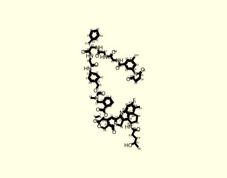 CC[C@@]1(OC(=O)c2ccccc2CN(C)C(=O)OCc2ccc(NC(=O)CNC(=O)[C@H](Cc3ccccc3)NC(=O)CNC(=O)CNC(=O)c3cc(I)cc(N4C(=O)C=CC4=O)c3)cc2)C(=O)OCc2c1cc1n(c2=O)Cc2c-1nc1cc(F)c(C)c3c1c2[C@@H](NC(=O)CCC(C)O)CC3